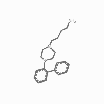 NCCCCN1CCN(c2ccccc2-c2ccccc2)CC1